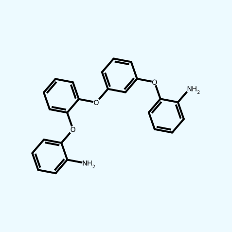 Nc1ccccc1Oc1cccc(Oc2ccccc2Oc2ccccc2N)c1